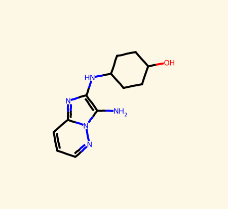 Nc1c(NC2CCC(O)CC2)nc2cccnn12